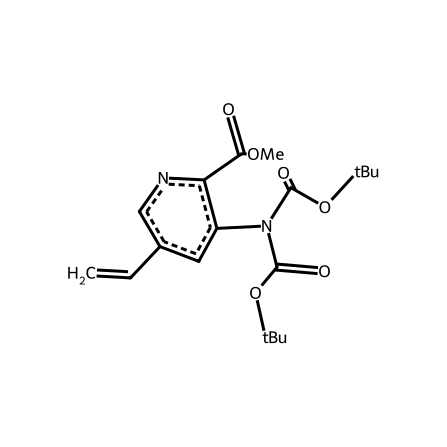 C=Cc1cnc(C(=O)OC)c(N(C(=O)OC(C)(C)C)C(=O)OC(C)(C)C)c1